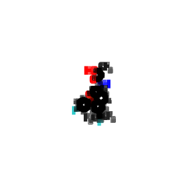 O=C(C[C@@H](O)C(F)(F)F)N[C@@H]1CC[C@@]2(S(=O)(=O)c3ccc(F)cc3)c3ccc(C(F)(C(F)(F)F)C(F)(F)F)cc3CC[C@@H]12